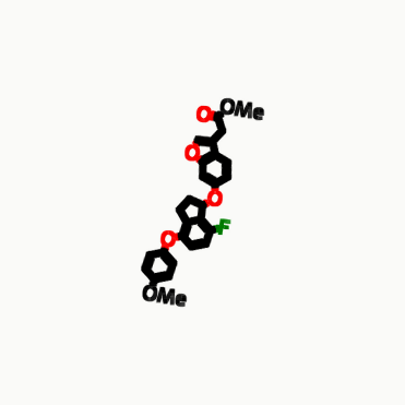 COC(=O)Cc1coc2cc(OC3CCc4c(Oc5ccc(OC)cc5)ccc(F)c43)ccc12